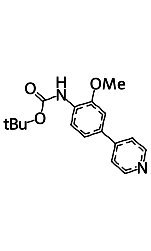 COc1cc(-c2ccncc2)ccc1NC(=O)OC(C)(C)C